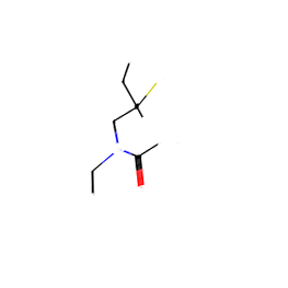 CCN(CC(C)(S)CC)C(C)=O